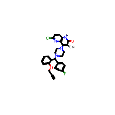 C#CCOc1ccccc1C(c1ccc(F)cc1)N1CCN(c2c(C#N)c(=O)n(C)c3ccc(Cl)nc23)CC1